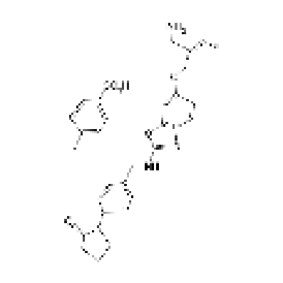 Cc1ccc(S(=O)(=O)O)cc1.NC/C(=C/F)COc1ccc2nc(NCc3ccc(N4CCCC4=O)cc3)oc2c1